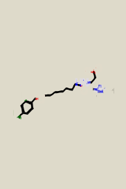 C[N+](C)(C)C[C@@H](CC(=O)[O-])NC(=O)CCCCCCCOCc1ccc(C(F)(F)F)cc1F